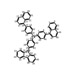 c1ccc2c(-c3ccc(N(c4ccc(-c5cccc6ccccc56)cc4)c4ccc(-n5c6ccccc6c6ccccc65)cc4)cc3)cccc2c1